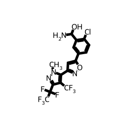 Cn1nc(C(F)(F)C(F)(F)F)c(C(F)(F)F)c1-c1cc(-c2ccc(Cl)c(C(N)O)c2)on1